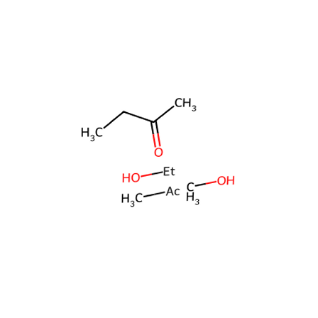 CC(C)=O.CCC(C)=O.CCO.CO